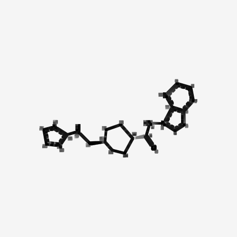 O=C(Nn1ccc2cccnc21)[C@H]1CC[C@H](CNc2nccs2)CC1